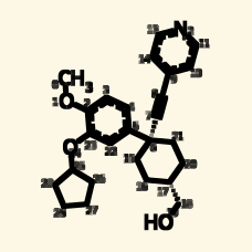 COc1ccc([C@]2(C#Cc3ccncc3)CC[C@@H](CO)CC2)cc1OC1CCCC1